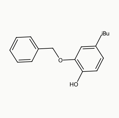 CCC(C)c1ccc(O)c(OCc2ccccc2)c1